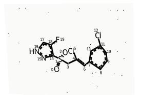 O=S(=O)(CC(Cl)=Cc1cccc(Cl)c1)c1n[nH]cc1F